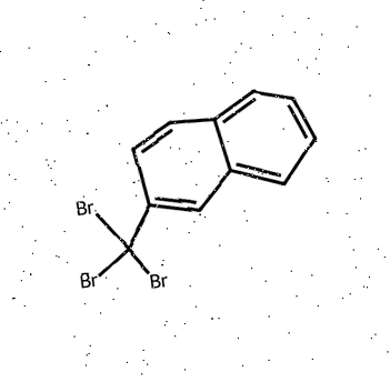 BrC(Br)(Br)c1[c]c2ccccc2cc1